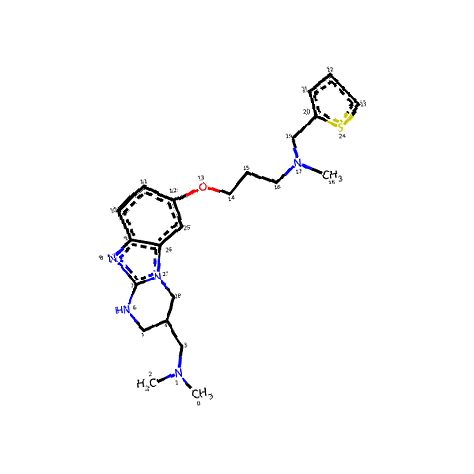 CN(C)CC1CNc2nc3ccc(OCCCN(C)Cc4cccs4)cc3n2C1